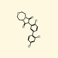 O=C1C(c2cc(-c3ccc(Cl)cc3Cl)ccc2Cl)C(=O)N2CCOCCN12